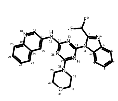 FC(F)c1nc2ccccc2n1-c1nc(Nc2cnc3ccccc3c2)nc(N2CCOCC2)n1